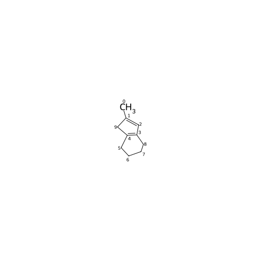 CC1=CC2=C(CCCC2)C1